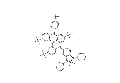 CC(C)(C)c1ccc(N2c3ccc(C(C)(C)C)cc3B3c4cc(C(C)(C)C)ccc4N(c4ccc5c(c4)N(C4CCCCC4)C(C)(C)N5C4CCCCC4)c4cc(C(C)(C)C)cc2c43)cc1